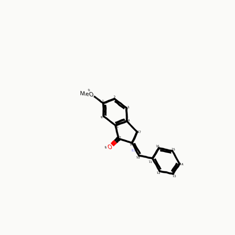 COc1ccc2c(c1)C(=O)/C(=C/c1ccccc1)C2